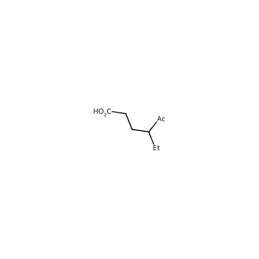 CCC(CCC(=O)O)C(C)=O